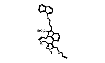 C=CCOCc1c(-c2cccc3c(CCCOc4cccc5ccccc45)c(C(=O)OCC)n(CC=C)c23)c(COCC)nn1C